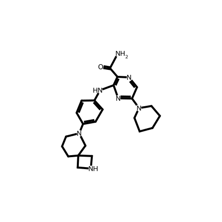 NC(=O)c1ncc(N2CCCCC2)nc1Nc1ccc(N2CCCC3(CNC3)C2)cc1